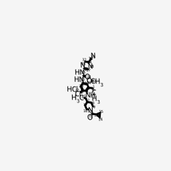 CCc1c(NC(C)C2CCN(C(=O)C3CC3)CC2)c(Cl)cc(NC(=O)Nc2cnc(C#N)cn2)c1OC.Cl